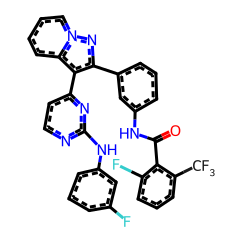 O=C(Nc1cccc(-c2nn3ccccc3c2-c2ccnc(Nc3cccc(F)c3)n2)c1)c1c(F)cccc1C(F)(F)F